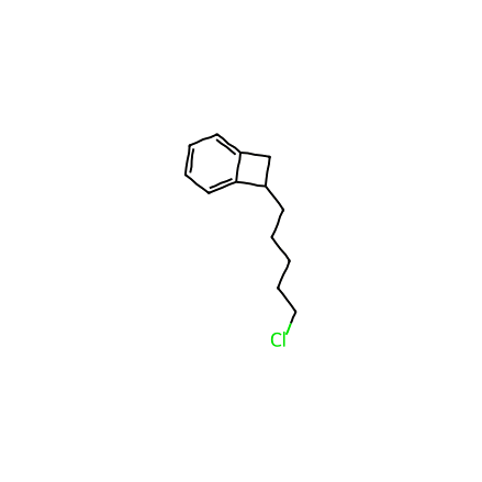 ClCCCCCC1Cc2ccccc21